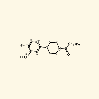 CC(C)(C)OC(=O)N1CCN(c2ncc(F)c(C(=O)O)n2)CC1